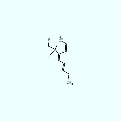 C\C=C/C(=C\C=C\CC)C(F)(F)CF